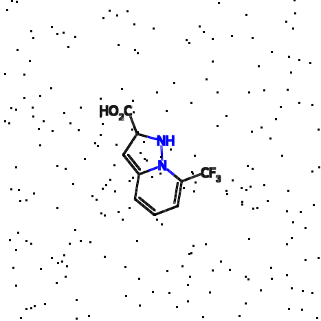 O=C(O)C1C=C2C=CC=C(C(F)(F)F)N2N1